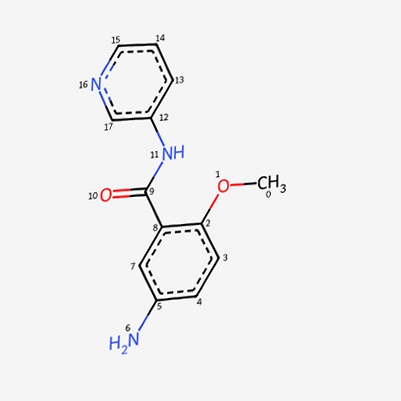 COc1ccc(N)cc1C(=O)Nc1cccnc1